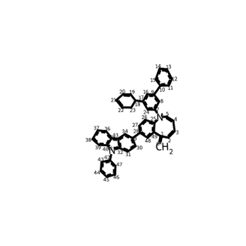 C=C1/C=C\C=C/N(c2cc(-c3ccccc3)cc(C3C=CC=CC3)c2)c2ccc(-c3ccc4c(c3)c3ccccc3n4-c3ccccc3)cc21